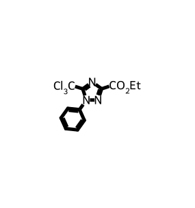 CCOC(=O)c1nc(C(Cl)(Cl)Cl)n(-c2ccccc2)n1